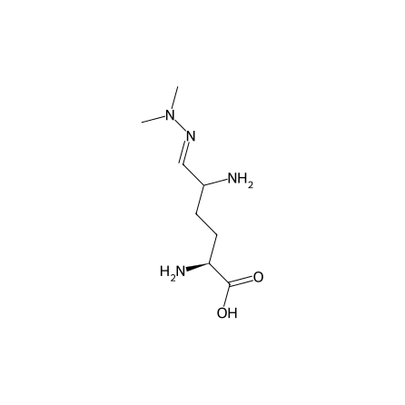 CN(C)N=CC(N)CC[C@H](N)C(=O)O